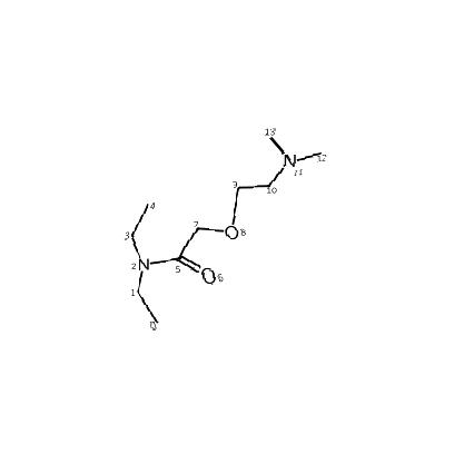 CCN(CC)C(=O)COCCN(C)C